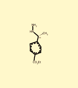 CCOC(=O)c1ccc([C@@H](C)NN)cc1